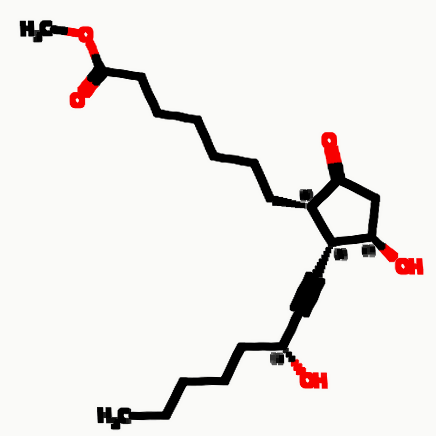 CCCCC[C@@H](O)C#C[C@H]1[C@H](O)CC(=O)[C@H]1CCCCCCC(=O)OC